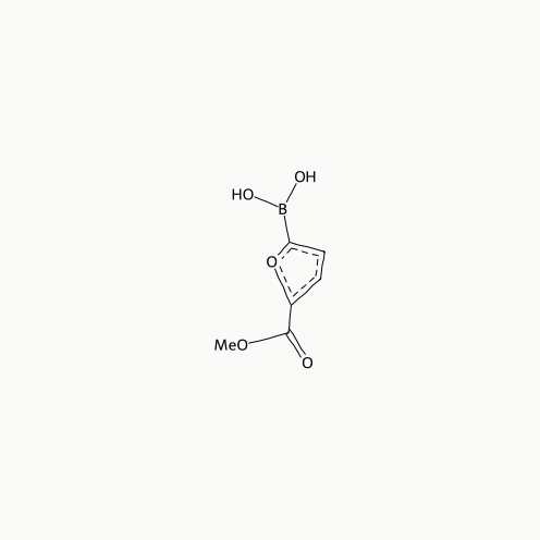 COC(=O)c1ccc(B(O)O)o1